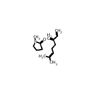 C=CC(=C)CCC=C(C)C.CN1CCCC1=O